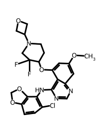 COc1cc(OC2CCN(C3COC3)CC2(F)F)c2c(Nc3c(Cl)ccc4c3OCO4)ncnc2c1